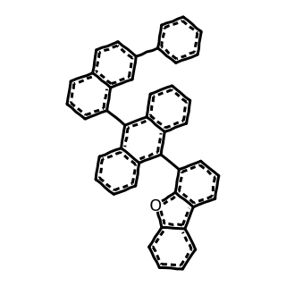 c1ccc(-c2ccc3cccc(-c4c5ccccc5c(-c5cccc6c5oc5ccccc56)c5ccccc45)c3c2)cc1